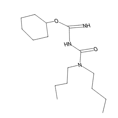 CCCCN(CCCC)C(=O)NC(=N)OC1CCCCC1